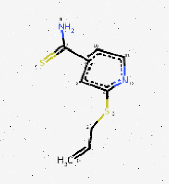 C=CCSc1cc(C(N)=S)ccn1